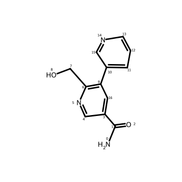 NC(=O)c1cnc(CO)c(-c2cccnc2)c1